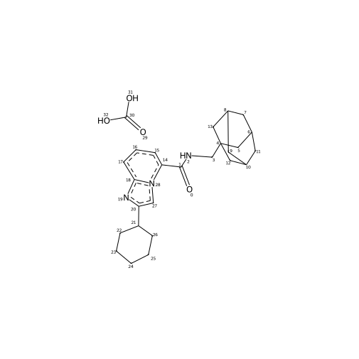 O=C(NCC12CC3CC(CC(C3)C1)C2)c1cccc2nc(C3CCCCC3)cn12.O=C(O)O